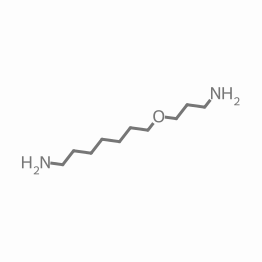 NCCCCCCCOCCCN